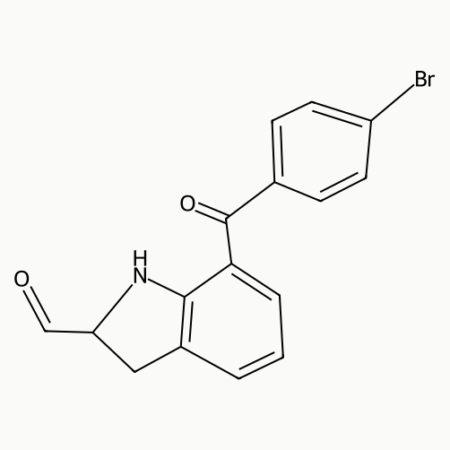 O=CC1Cc2cccc(C(=O)c3ccc(Br)cc3)c2N1